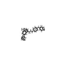 c1cc(CN2CCN(CCCc3c[nH]c4ccc(-n5cnnc5)cc34)CC2)ccn1